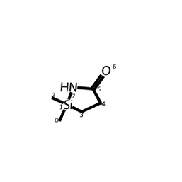 C[Si]1(C)CCC(=O)N1